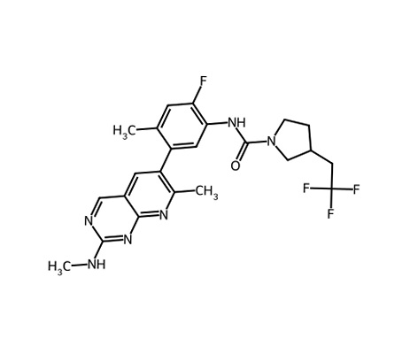 CNc1ncc2cc(-c3cc(NC(=O)N4CCC(CC(F)(F)F)C4)c(F)cc3C)c(C)nc2n1